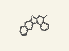 Cc1cc2oc3cc4ccc#cc4cc3c2c2ccccc12